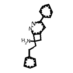 NC1(CCc2ccccc2)Cc2cc(-c3ccccc3)nnc21